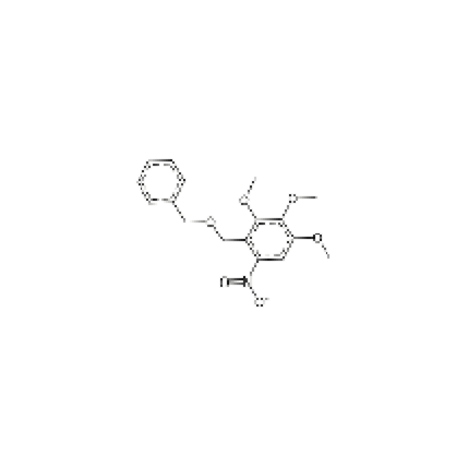 COc1cc([N+](=O)[O-])c(COCc2ccccc2)c(OC)c1OC